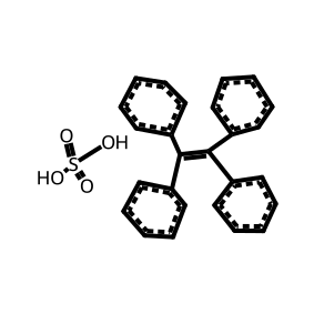 O=S(=O)(O)O.c1ccc(C(=C(c2ccccc2)c2ccccc2)c2ccccc2)cc1